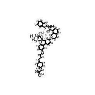 CC(C)(C)OC(=O)c1nc(N2CCc3cccc(C(=O)Nc4nc5ccccc5s4)c3C2)ccc1-c1cccc(OCCCC2CCN(CC(=O)O)CC2)c1